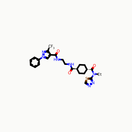 CCN(c1nncs1)C(=O)[C@H]1CC[C@H](C(=O)NCCNC(=O)c2cn(-c3ccccc3)nc2C(F)(F)F)CC1